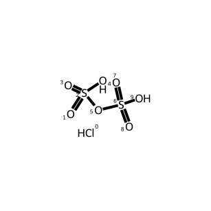 Cl.O=S(=O)(O)OS(=O)(=O)O